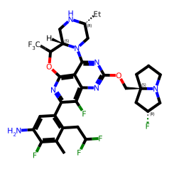 CC[C@@H]1CN2c3nc(OC[C@@]45CCCN4C[C@H](F)C5)nc4c(F)c(-c5cc(N)c(F)c(C)c5CC(F)F)nc(c34)OC(C(F)(F)F)[C@@H]2CN1